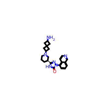 NC1CC2(C1)CC(N1CCC[C@H](c3nn(-c4cccc5cnccc45)c(=O)[nH]3)C1)C2